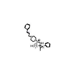 CC1[C@H](c2ccccc2)[C@]1(NS(=O)(=O)N1CCN(C/C=C/c2ccccc2)CC1)C(=O)O